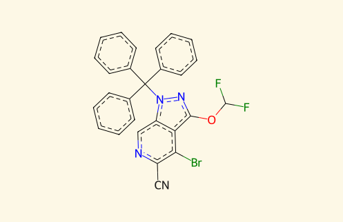 N#Cc1ncc2c(c(OC(F)F)nn2C(c2ccccc2)(c2ccccc2)c2ccccc2)c1Br